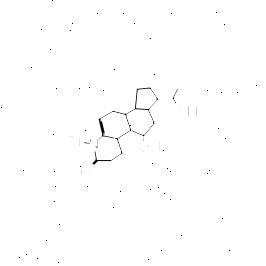 CCN1C(=O)CC[C@@]2(C)C1=CCC1C2[C@@H](O)C[C@@]2(C)C1CC[C@@H]2C(C)O